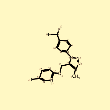 Cc1nnn(-c2ccc(C(F)F)cc2)c1COc1ccc(I)cn1